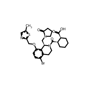 Cc1cnc(COc2ccc(Br)c3c2[C@@H](CN2CCCC2=O)N(C(=O)[C@@H]2CCCC[C@@H]2C(=O)O)CC3)s1